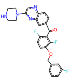 O=C(c1ccc2ncc(N3CCNCC3)nc2c1)c1c(F)ccc(OCc2cccc(F)c2)c1F